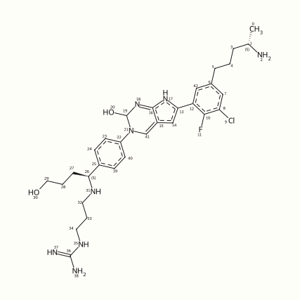 C[C@H](N)CCCc1cc(Cl)c(F)c(-c2cc3c([nH]2)=NC(O)N(c2ccc([C@H](CCCO)NCCCNC(=N)N)cc2)C=3)c1